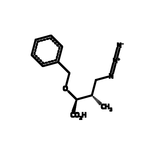 C[C@@H](CN=[N+]=[N-])[C@H](OCc1ccccc1)C(=O)O